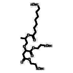 CCCCCCCCCCCCCCCCCC(=O)OC(C)COC(CC(=O)OCCCCCCCCCCCC)C(=O)OCCCCCCCCCCCC